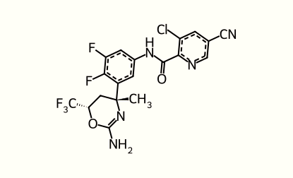 C[C@]1(c2cc(NC(=O)c3ncc(C#N)cc3Cl)cc(F)c2F)C[C@@H](C(F)(F)F)OC(N)=N1